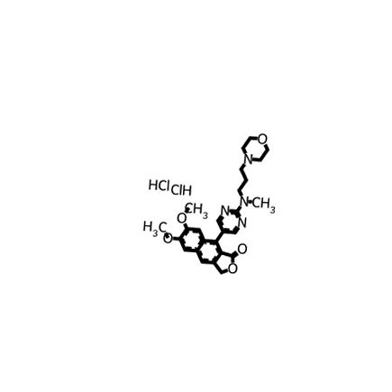 COc1cc2cc3c(c(-c4cnc(N(C)CCCN5CCOCC5)nc4)c2cc1OC)C(=O)OC3.Cl.Cl